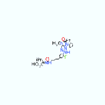 CC[C@@H]1C(=O)N(C)c2cnc(Nc3ccc(CCCCCC(=O)N[C@@H](CC(C)C)C(=O)O)cc3F)nc2N1C1CCCC1